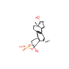 C[C@]12CCc3c(ccc4c3CC[C@@](O)(OS(=O)(=O)O)C4)C1CC[C@H]2O.[NaH]